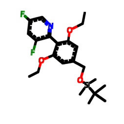 CCOc1cc(CO[Si](C)(C)C(C)(C)C)cc(OCC)c1-c1ncc(F)cc1F